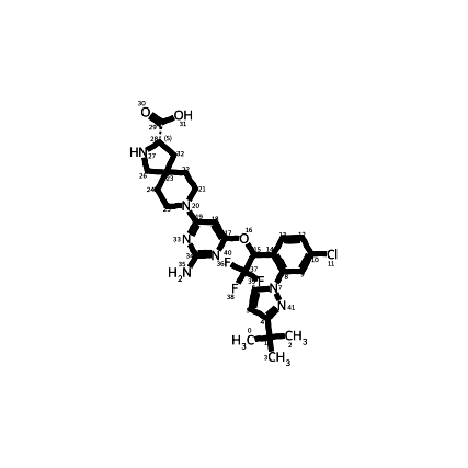 CC(C)(C)c1ccn(-c2cc(Cl)ccc2C(Oc2cc(N3CCC4(CC3)CN[C@H](C(=O)O)C4)nc(N)n2)C(F)(F)F)n1